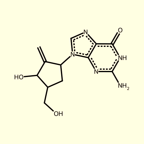 C=C1C(O)C(CO)CC1n1cnc2c(=O)[nH]c(N)nc21